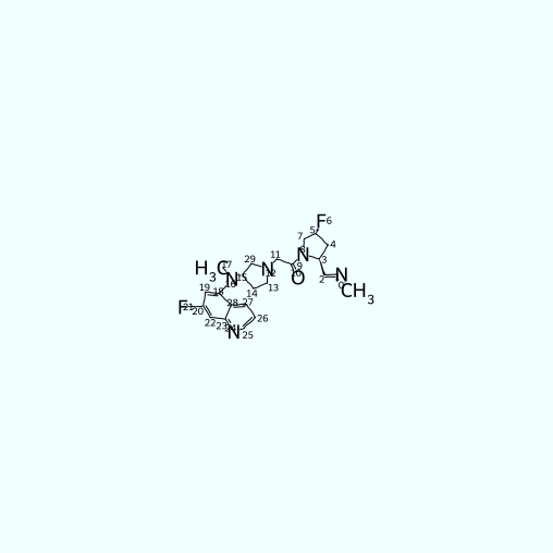 CN=C[C@@H]1C[C@H](F)CN1C(=O)CN1CC[C@H](N(C)c2cc(F)cc3ncccc23)C1